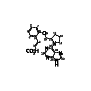 O=C(O)C=Cc1ccccc1OCC1CCCN1c1ncnc2[nH]cnc12